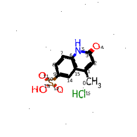 Cc1cc(=O)[nH]c2ccc(S(=O)(=O)O)cc12.Cl